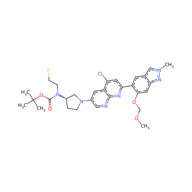 COCOc1cc2nn(C)cc2cc1-c1cc(Cl)c2cc(N3CC[C@@H](N(CCF)C(=O)OC(C)(C)C)C3)cnc2n1